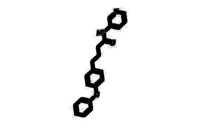 O=C(CCCc1ccc(Oc2ccccc2)cc1)Nc1cccnc1